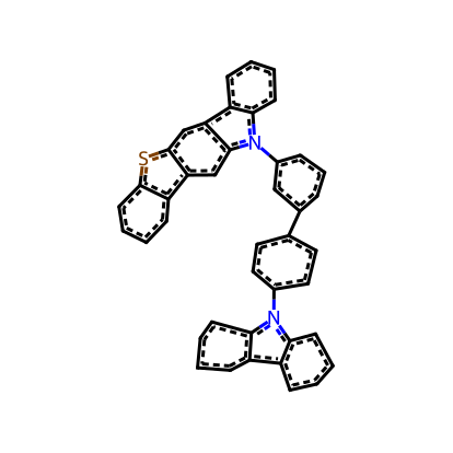 c1cc(-c2ccc(-n3c4ccccc4c4ccccc43)cc2)cc(-n2c3ccccc3c3cc4sc5ccccc5c4cc32)c1